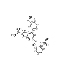 CC(C)c1cc2cc(COc3ccccc3CC(=O)O)cc(-c3cccc(CN)c3)c2o1